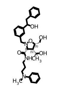 C[C@@H](O)[C@H]1[C@@H](CO)ON(Cc2cccc(C(O)Cc3ccccc3)c2)[C@H]1C(=O)NCCCN(C)c1ccccc1